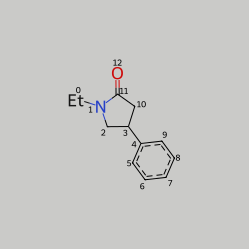 CCN1CC(c2ccccc2)CC1=O